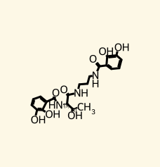 C[C@@H](O)[C@H](NC(=O)c1cccc(O)c1O)C(=O)NCCCNC(=O)c1cccc(O)c1O